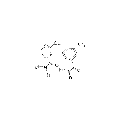 CCN(CC)C(=O)c1cccc(C)c1.CCN(CC)C(=O)c1cccc(C)c1